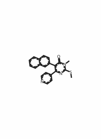 CSc1nc(-c2ccncc2)c(-c2ccc3ccccc3c2)c(=O)n1C